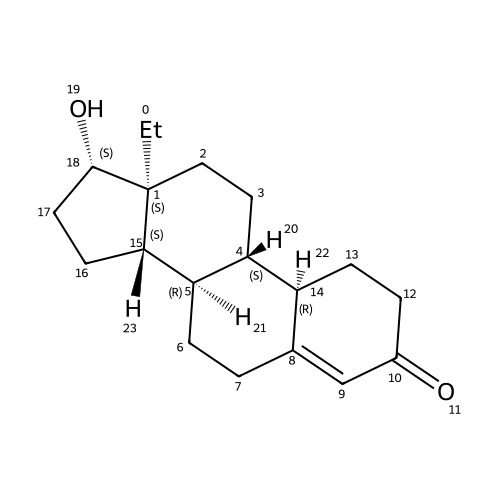 CC[C@]12CC[C@H]3[C@@H](CCC4=CC(=O)CC[C@@H]43)[C@@H]1CC[C@@H]2O